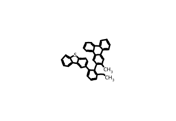 CCc1cccc(-c2ccc3sc4ccccc4c3c2)c1-c1cc2c3ccccc3c3ccccc3c2cc1C